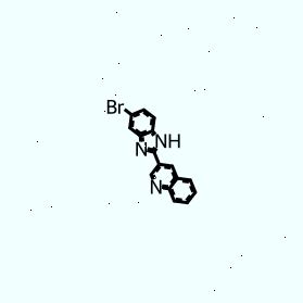 Brc1ccc2[nH]c(-c3cnc4ccccc4c3)nc2c1